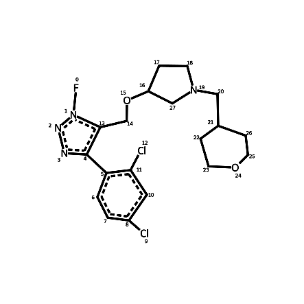 Fn1nnc(-c2ccc(Cl)cc2Cl)c1COC1CCN(CC2CCOCC2)C1